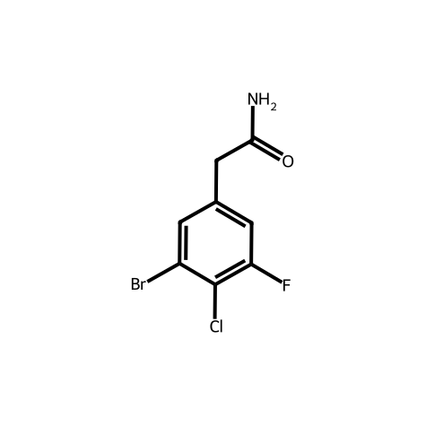 NC(=O)Cc1cc(F)c(Cl)c(Br)c1